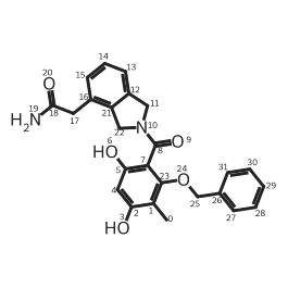 Cc1c(O)cc(O)c(C(=O)N2Cc3cccc(CC(N)=O)c3C2)c1OCc1ccccc1